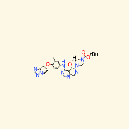 Cc1cc(Nc2ncnc3cnc4c(c23)OC[C@@H]2CN(C(=O)OC(C)(C)C)CCN42)ccc1Oc1ccn2ncnc2c1